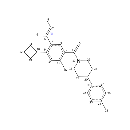 C=C(c1cc(/C(C)=C/C)c(C2CCC2)cc1C)N1CCC(c2ccc(C)cc2)CC1